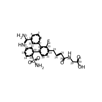 N=C(N)c1cccc(-c2c(-c3ccccc3S(N)(=O)=O)ccc(CC=CC(=O)NCC(=O)O)c2F)c1